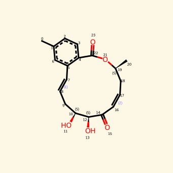 Cc1ccc2c(c1)/C=C/C[C@H](O)[C@H](O)C(=O)/C=C\C[C@H](C)OC2=O